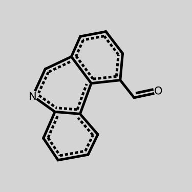 O=Cc1cccc2cnc3ccccc3c12